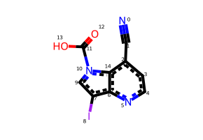 N#Cc1ccnc2c(I)cn(C(=O)O)c12